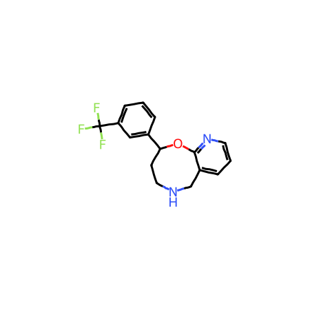 FC(F)(F)c1cccc(C2CCNCc3cccnc3O2)c1